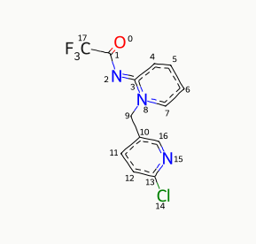 O=C(/N=c1\ccccn1Cc1ccc(Cl)nc1)C(F)(F)F